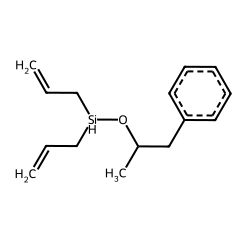 C=CC[SiH](CC=C)OC(C)Cc1ccccc1